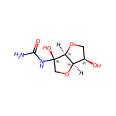 NC(=O)N[C@@]1(O)CO[C@@H]2[C@H](O)CO[C@@H]21